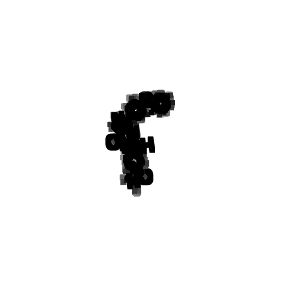 CN(C)C(=O)N1CCC(O)(Cn2cnc3c(cnn3-c3ccc(Oc4ccccc4)cc3)c2=O)CC1